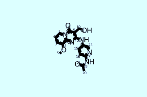 COc1cccn2c(=O)c(CO)c(Nc3ccc(NC(C)=O)nc3)nc12